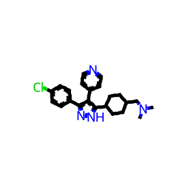 CN(C)CC1CCC(c2[nH]nc(-c3ccc(Cl)cc3)c2-c2ccncc2)CC1